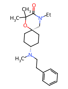 CCN1C[C@]2(CC[C@@H](N(C)CCc3ccccc3)CC2)OC(C)(C)C1=O